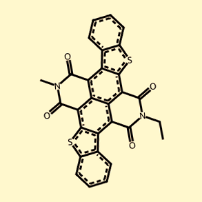 CCN1C(=O)c2c3sc4ccccc4c3c3c4c(c5sc6ccccc6c5c(c24)C1=O)C(=O)N(C)C3=O